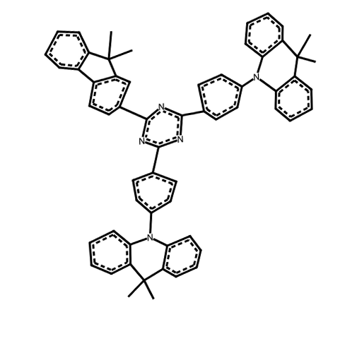 CC1(C)c2ccccc2-c2ccc(-c3nc(-c4ccc(N5c6ccccc6C(C)(C)c6ccccc65)cc4)nc(-c4ccc(N5c6ccccc6C(C)(C)c6ccccc65)cc4)n3)cc21